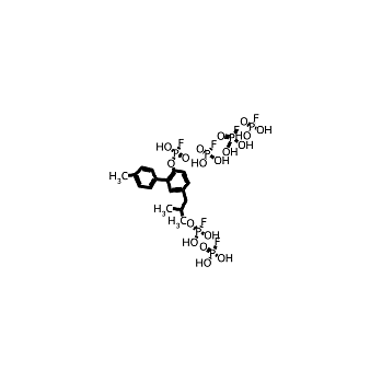 Cc1ccc(-c2cc(CC(C)C)ccc2OP(=O)(O)F)cc1.O=P(O)(O)F.O=P(O)(O)F.O=P(O)(O)F.O=P(O)(O)F.O=P(O)(O)F